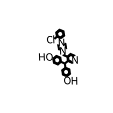 Oc1ccc(C(c2ccc(O)cc2)c2cnccc2CN2CCN(c3ccccc3Cl)CC2)cc1